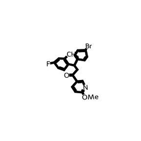 COc1ccc(C(=O)CC(c2ccc(Br)cc2)c2ccc(F)cc2C)cn1